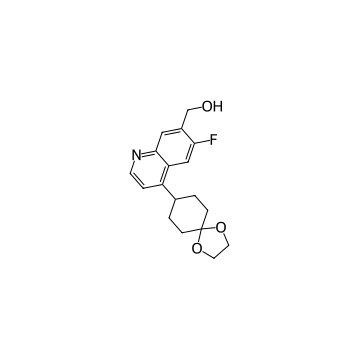 OCc1cc2nccc(C3CCC4(CC3)OCCO4)c2cc1F